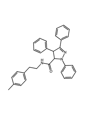 Cc1ccc(CCNC(=O)C2C(c3ccccc3)C(c3ccccc3)=NN2c2ccccc2)cc1